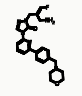 NC/C(=C\F)Cn1ncn(-c2cccc(-c3ccc(CN4CCOCC4)cc3)n2)c1=O